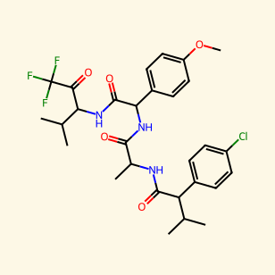 COc1ccc(C(NC(=O)C(C)NC(=O)C(c2ccc(Cl)cc2)C(C)C)C(=O)NC(C(=O)C(F)(F)F)C(C)C)cc1